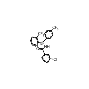 O=C(N[C@@H](c1ccc(C(F)(F)F)cc1)c1ncccc1C(F)(F)F)c1cccc(Cl)c1